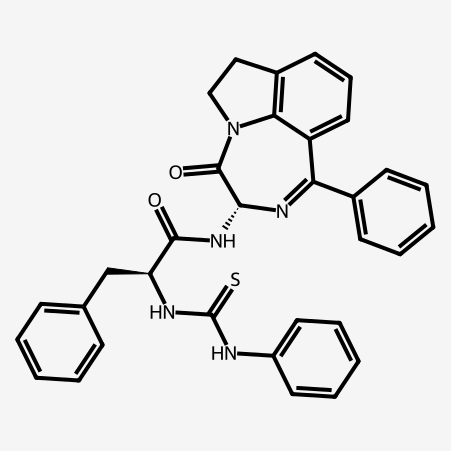 O=C(N[C@H]1N=C(c2ccccc2)c2cccc3c2N(CC3)C1=O)[C@H](Cc1ccccc1)NC(=S)Nc1ccccc1